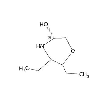 CCC1N[C@H](O)COC1CC